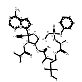 CCC(C)(C)CCOC(=O)[C@H](C)NP(=O)(OC[C@H]1O[C@@](C#N)(c2ccc3c(N)ncnn23)[C@H](OC(=O)C(C)C)[C@@H]1OC(=O)C(C)C)Oc1ccccc1